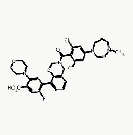 CN1CCCN(c2cc(Cl)c(C(=O)N3COc4c(cccc4-c4cc(N5CCOCC5)c(C(=O)O)cc4F)C3)c(Cl)c2)CC1